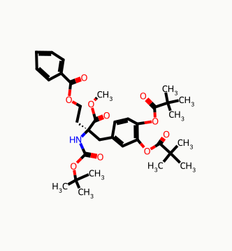 COC(=O)[C@@](CCOC(=O)c1ccccc1)(Cc1ccc(OC(=O)C(C)(C)C)c(OC(=O)C(C)(C)C)c1)NC(=O)OC(C)(C)C